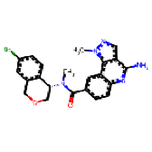 CN(C(=O)c1ccc2nc(N)c3cnn(C)c3c2c1)[C@@H]1COCc2cc(Br)ccc21